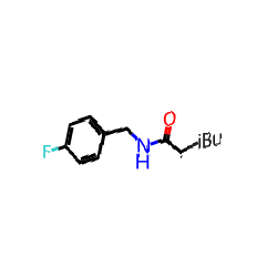 CCC(C)[CH]C(=O)NCc1ccc(F)cc1